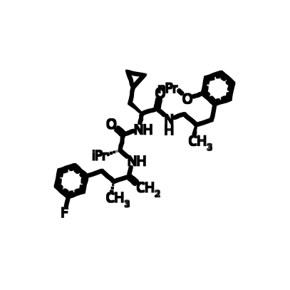 C=C(N[C@@H](C(=O)N[C@@H](CC1CC1)C(=O)NC[C@H](C)Cc1ccccc1OCCC)C(C)C)[C@H](C)Cc1cccc(F)c1